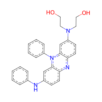 OCCN(CCO)c1ccc2nc3ccc(Nc4ccccc4)cc3[n+](-c3ccccc3)c2c1